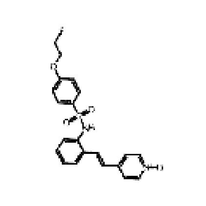 O=S(=O)(Nc1ccccc1C=Cc1cc[n+]([O-])cc1)c1ccc(OCCF)cc1